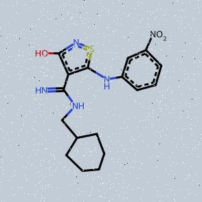 N=C(NCC1CCCCC1)c1c(O)nsc1Nc1cccc([N+](=O)[O-])c1